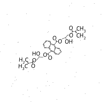 C=C(C)C(=O)OCC(O)COC(=O)c1c2ccccc2c(C(=O)OCC(O)COC(=O)C(=C)C)c2ccccc12